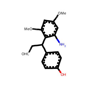 COc1cc(N)c(C(CC=O)c2ccc(O)cc2)c(OC)c1